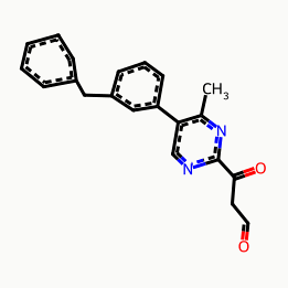 Cc1nc(C(=O)CC=O)ncc1-c1cccc(Cc2ccccc2)c1